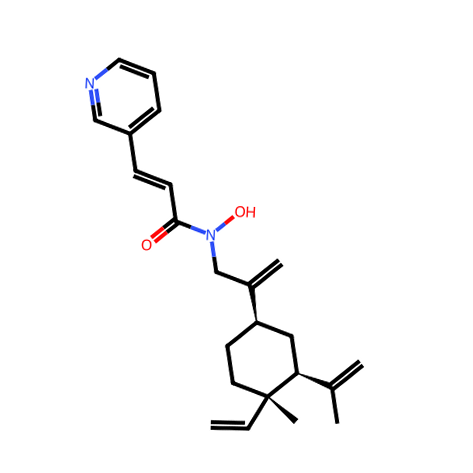 C=C[C@]1(C)CC[C@@H](C(=C)CN(O)C(=O)/C=C/c2cccnc2)C[C@H]1C(=C)C